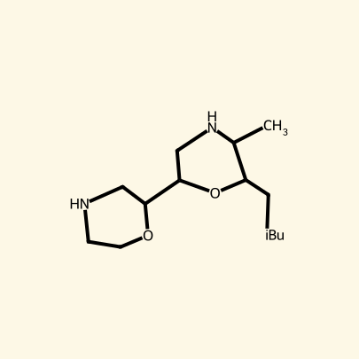 CCC(C)CC1OC(C2CNCCO2)CNC1C